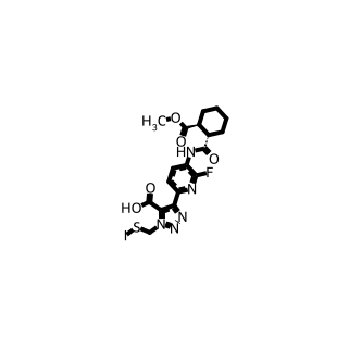 COC(=O)[C@H]1CCCC[C@@H]1C(=O)Nc1ccc(-c2nnn(CSI)c2C(=O)O)nc1F